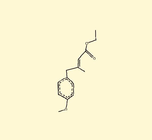 CCOC(=O)/C=C(\C)Cc1ccc(OC)cc1